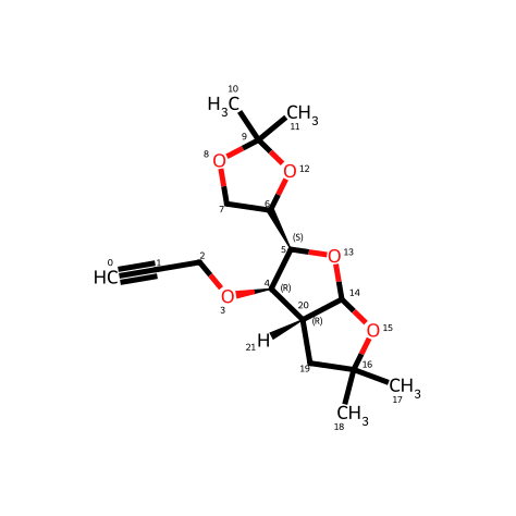 C#CCO[C@H]1[C@@H](C2COC(C)(C)O2)OC2OC(C)(C)C[C@@H]21